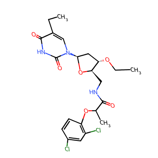 CCO[C@H]1C[C@H](n2cc(CC)c(=O)[nH]c2=O)O[C@@H]1CNC(=O)C(C)Oc1ccc(Cl)cc1Cl